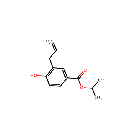 C=CCc1cc(C(=O)OC(C)C)ccc1O